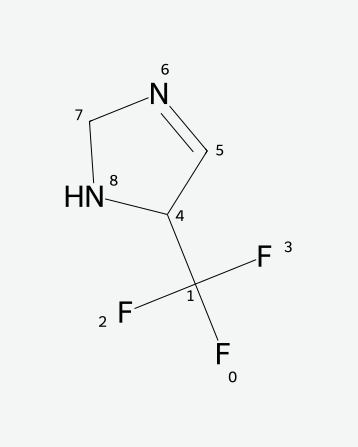 FC(F)(F)C1C=NCN1